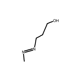 CN=NCCCO